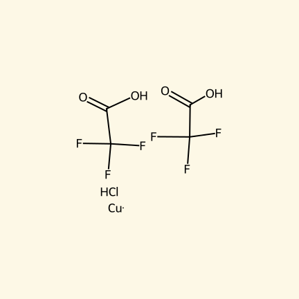 Cl.O=C(O)C(F)(F)F.O=C(O)C(F)(F)F.[Cu]